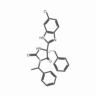 CC(c1ccccc1)N1C(=O)N[C@@](Cc2ccccc2)(c2nc3ccc(Cl)cc3[nH]2)C1=O